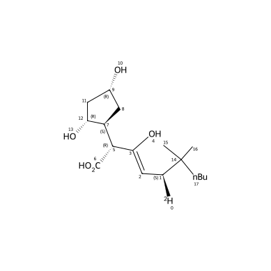 [2H][C@@H](C=C(O)[C@H](C(=O)O)[C@@H]1C[C@@H](O)C[C@H]1O)C(C)(C)CCCC